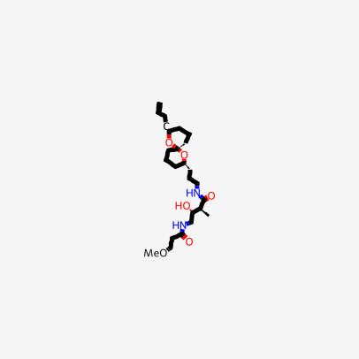 C=CCC[C@@H]1CCC[C@]2(CCC[C@@H](CCCNC(=O)[C@@H](C)[C@@H](O)CNC(=O)CCOC)O2)O1